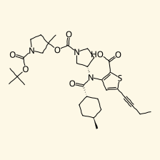 CCC#Cc1cc(N(C(=O)[C@H]2CC[C@H](C)CC2)[C@H]2CCN(C(=O)OC3(C)CCN(C(=O)OC(C)(C)C)C3)C2)c(C(=O)O)s1